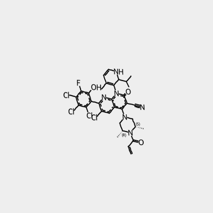 C=CC(=O)N1[C@H](C)CN(c2c(C#N)c(=O)n(C3=C(C)C=CNC3C(C)C)c3nc(-c4c(O)c(F)c(Cl)c(Cl)c4Cl)c(Cl)cc23)C[C@@H]1C